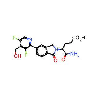 NC(=O)C(CCC(=O)O)N1Cc2cc(-c3ncc(F)c(CO)c3F)ccc2C1=O